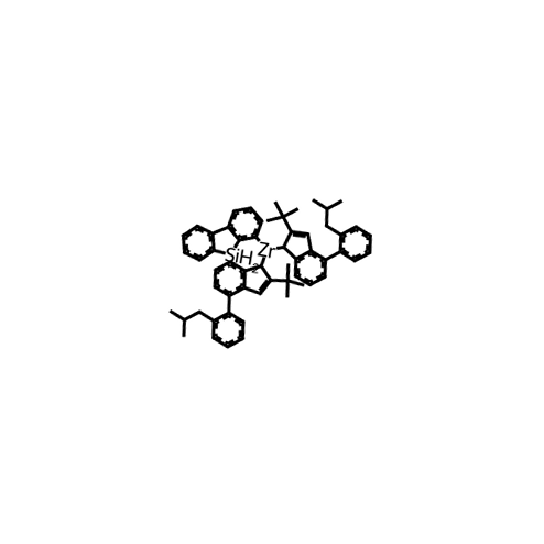 CC(C)Cc1ccccc1-c1cccc2c1C=C(C(C)(C)C)[CH]2[Zr]([c]1cccc2c1[SiH2]c1ccccc1-2)[CH]1C(C(C)(C)C)=Cc2c(-c3ccccc3CC(C)C)cccc21